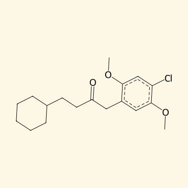 COc1cc(CC(=O)CCC2CCCCC2)c(OC)cc1Cl